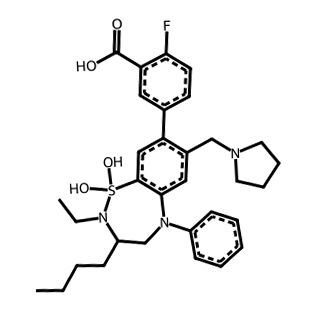 CCCCC1CN(c2ccccc2)c2cc(CN3CCCC3)c(-c3ccc(F)c(C(=O)O)c3)cc2S(O)(O)N1CC